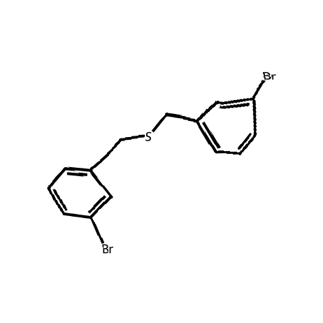 Brc1cccc(CSCc2cccc(Br)c2)c1